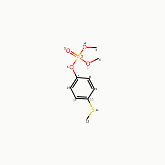 COP(=O)(OC)Oc1ccc(SC)cc1